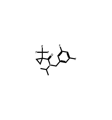 CC(C)N(Cc1cc(F)cc(F)c1)C(=O)C1(C(F)(F)F)CC1